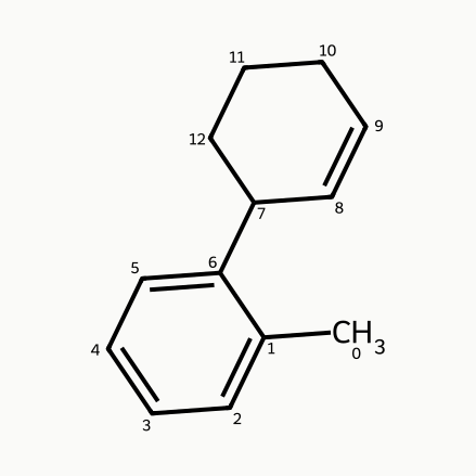 Cc1ccccc1C1C=CCCC1